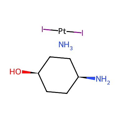 N.N[C@H]1CC[C@@H](O)CC1.[I][Pt][I]